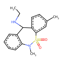 CCNC1c2ccccc2N(C)S(=O)(=O)c2cc(C)ccc21